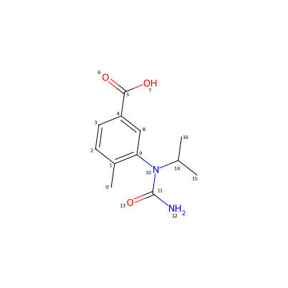 Cc1ccc(C(=O)O)cc1N(C(N)=O)C(C)C